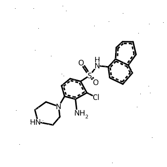 Nc1c(N2CCNCC2)ccc(S(=O)(=O)Nc2cccc3ccccc23)c1Cl